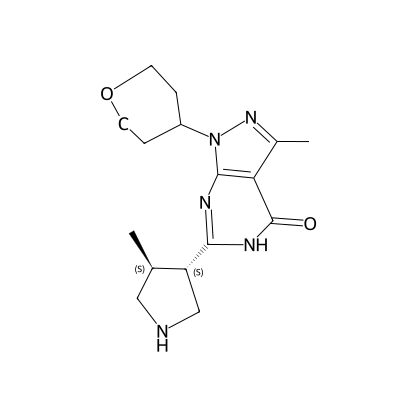 Cc1nn(C2CCOCC2)c2nc([C@@H]3CNC[C@H]3C)[nH]c(=O)c12